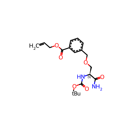 C=CCOC(=O)c1cccc(COC[C@H](NC(=O)OC(C)(C)C)C(N)=O)c1